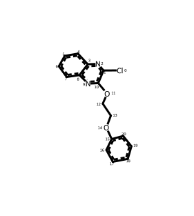 Clc1nc2ccccc2nc1OCCOc1ccccc1